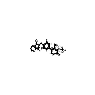 [2H]C1([2H])c2ncccc2C(=O)N1Cc1c(F)cc(-c2ccc(C)c3c2cnn3C([2H])([2H])[2H])cc1F